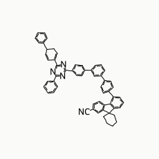 N#Cc1ccc2c(c1)C1(CCCCC1)c1cccc(-c3ccc(-c4cccc(-c5ccc(-c6nc(C7=CCC(c8ccccc8)C=C7)nc(-c7ccccc7)n6)cc5)c4)cc3)c1-2